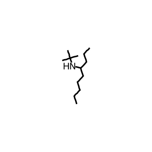 CCCCCC(CCC)NC(C)(C)C